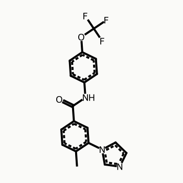 Cc1ccc(C(=O)Nc2ccc(OC(F)(F)F)cc2)cc1-n1ccnc1